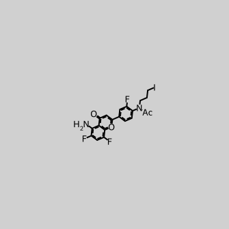 CC(=O)N(CCCI)c1ccc(-c2cc(=O)c3c(N)c(F)cc(F)c3o2)cc1F